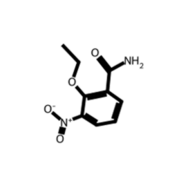 CCOc1c(C(N)=O)cccc1[N+](=O)[O-]